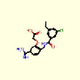 CCc1cc(Cl)cc(C(=O)NCC2=C(OCC(=O)O)CC(C(=N)N)C=C2)c1